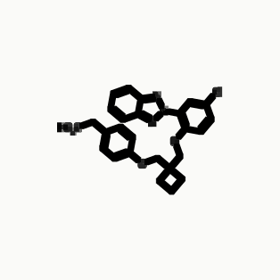 O=C(O)Cc1ccc(OCC2(COc3ccc(Cl)cc3-n3nc4ccccc4n3)CCC2)cc1